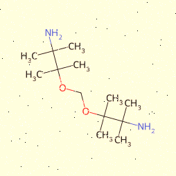 CC(C)(N)C(C)(C)OCOC(C)(C)C(C)(C)N